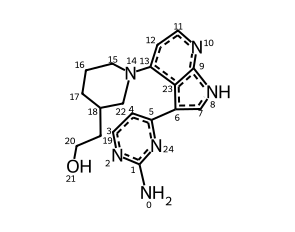 Nc1nccc(-c2c[nH]c3nccc(N4CCCC(CCO)C4)c23)n1